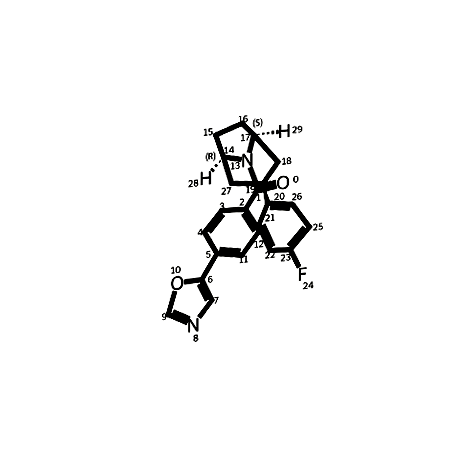 O=C(c1ccc(-c2cnco2)cc1)N1[C@@H]2CC[C@H]1C[C@@H](c1ccc(F)cc1)C2